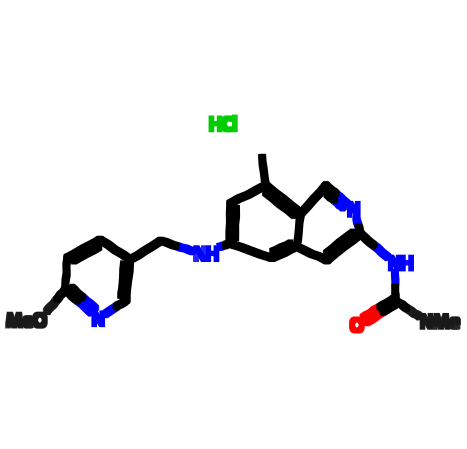 CNC(=O)Nc1cc2cc(NCc3ccc(OC)nc3)cc(C)c2cn1.Cl